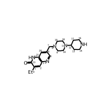 CCc1cc2ncc(CN3CCN(C4CCNCC4)CC3)cc2[nH]c1=O